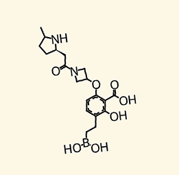 CC1CC[C@H](CC(=O)N2CC(Oc3ccc(CCB(O)O)c(O)c3C(=O)O)C2)N1